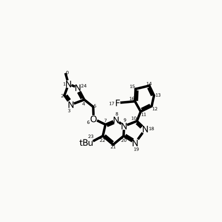 Cn1cnc(COc2nn3c(-c4ccccc4F)nnc3cc2C(C)(C)C)n1